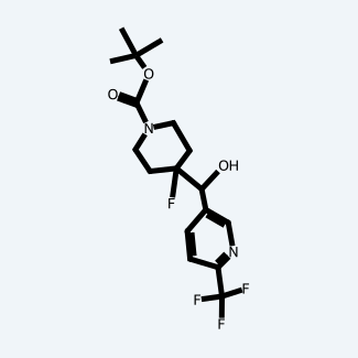 CC(C)(C)OC(=O)N1CCC(F)(C(O)c2ccc(C(F)(F)F)nc2)CC1